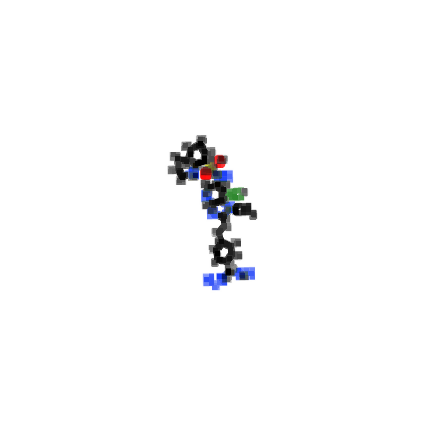 Cl.Cn1c(CCc2ccc(C(=N)N)cc2)nc2ncc(NS(=O)(=O)c3cccc4cccnc34)cc21